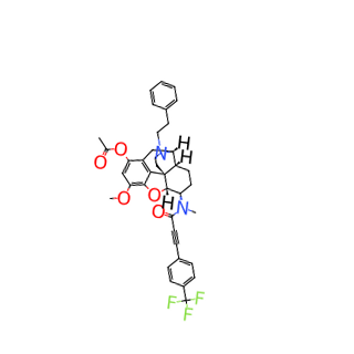 COc1cc(OC(C)=O)c2c3c1O[C@H]1[C@H](N(C)C(=O)C#Cc4ccc(C(F)(F)F)cc4)CC[C@H]4[C@@H](C2)N(CCc2ccccc2)CC[C@@]341